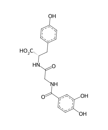 O=C(CNC(=O)c1ccc(O)c(O)c1)N[C@@H](Cc1ccc(O)cc1)C(=O)O